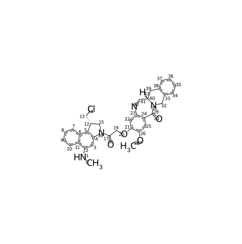 CNc1cc2c(c3ccccc13)[C@H](CCl)CN2C(=O)COc1cc2c(cc1OC)C(=O)N1Cc3ccccc3C[C@H]1C=N2